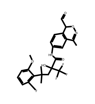 COc1cccc(F)c1C(C)(C)CC(O)(C(=O)Nc1ccc2c(c1)C(C)=NOC2C=O)C(F)(F)F